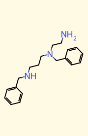 NCCN(CCCNCc1ccccc1)Cc1ccccc1